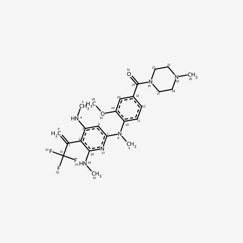 C=C(c1c(NC)cc(N(C)c2ccc(C(=O)N3CCN(C)CC3)cc2OC)nc1NC)C(F)(F)F